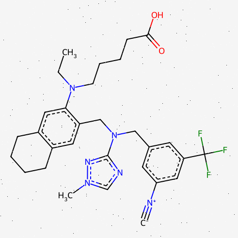 [C-]#[N+]c1cc(CN(Cc2cc3c(cc2N(CC)CCCCC(=O)O)CCCC3)c2ncn(C)n2)cc(C(F)(F)F)c1